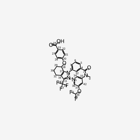 CN(C(=O)c1cccc(-n2nc(C(F)(F)F)c3c2C(Oc2ccc(C(=O)O)cc2)CCC3)c1)c1cncc(OC(F)F)c1